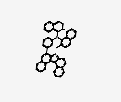 Cc1ccc2ccccc2c1B(C1=c2ccccc2=CCC1C)c1cccc(-c2cc3ccccc3c3c2oc2ccc4ccccc4c23)c1